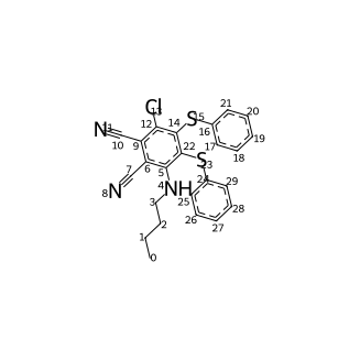 CCCCNc1c(C#N)c(C#N)c(Cl)c(Sc2ccccc2)c1Sc1ccccc1